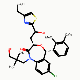 COc1cccc([C@H]2O[C@H](CC(O)c3nc(CC(=O)O)cs3)C(=O)N(CC(C)(C)CO)c3ccc(Cl)cc32)c1OC